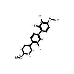 CCCOc1ccc(-c2ccc(C3CCC(OC)OC3)c(F)c2)c(F)c1F